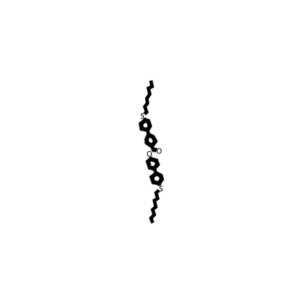 CCCCCCCCSc1ccc(-c2ccc(OC(=O)c3ccc(-c4ccc(SCCCCCCCC)cc4)cc3)cc2)cc1